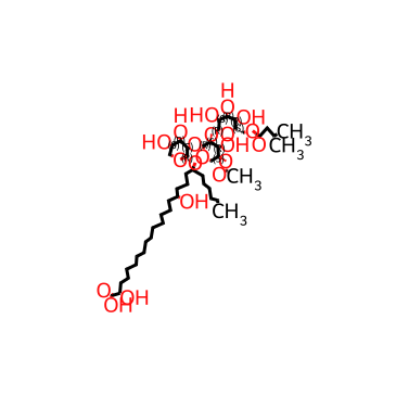 CCCCCCC(CCCC(O)CCCCCCCCCCCCCC(O)C(=O)O)O[C@H]1OC[C@H](O)[C@@H](O)[C@@H]1O[C@H]1OC[C@H](OC(C)=O)[C@@H](O)[C@@H]1O[C@H]1O[C@@H](COC(=O)CC(C)C)[C@H](O)[C@@H](O)[C@@H]1O